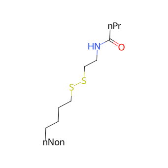 CCCCCCCCCCCCCSSCCNC(=O)CCC